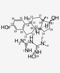 CN(C)C(=N)NC(=N)N.C[C@]12CC[C@@H]3c4ccc(O)cc4CC[C@H]3[C@@H]1CC[C@@H]2O.Cl